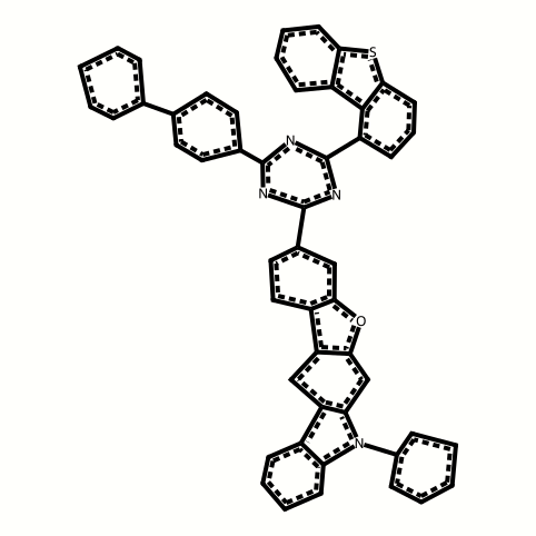 c1ccc(-c2ccc(-c3nc(-c4ccc5c(c4)oc4cc6c(cc45)c4ccccc4n6-c4ccccc4)nc(-c4cccc5sc6ccccc6c45)n3)cc2)cc1